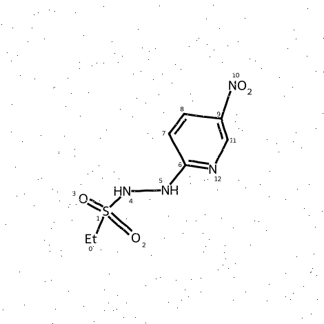 CCS(=O)(=O)NNc1ccc([N+](=O)[O-])cn1